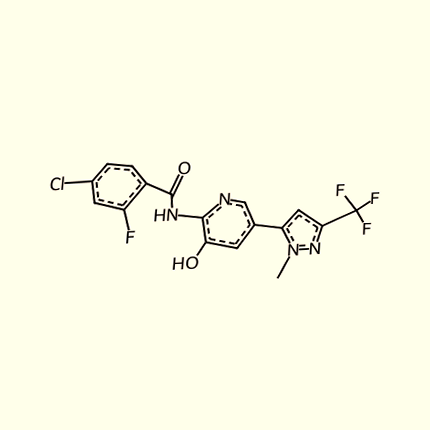 Cn1nc(C(F)(F)F)cc1-c1cnc(NC(=O)c2ccc(Cl)cc2F)c(O)c1